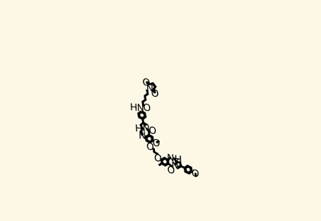 COc1ccc(C2=CN3C(=O)c4cc(C)c(OCCCOc5cc6c(cc5OC)C(=O)N5C=C(c7ccc(NC(=O)CCCCCN8C(=O)C=CC8=O)cc7)C[C@H]5C=N6)cc4N=C[C@@H]3C2)cc1